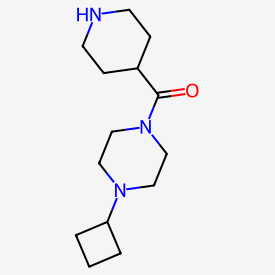 O=C(C1CCNCC1)N1CCN(C2CCC2)CC1